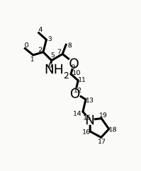 CCC(CC)C(N)C(C)OCCOCCN1CCCC1